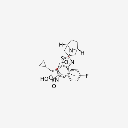 Cc1cc(C(=O)O)cc2sc(N3[C@@H]4CC[C@H]3C[C@@H](OCc3c(-c5ccc(F)cc5)noc3C3CC3)C4)nc12